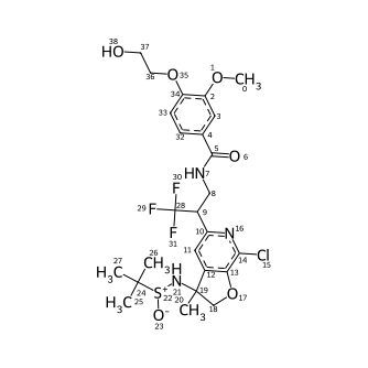 COc1cc(C(=O)NCC(c2cc3c(c(Cl)n2)OCC3(C)N[S+]([O-])C(C)(C)C)C(F)(F)F)ccc1OCCO